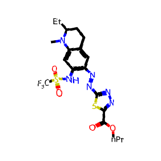 CCCOC(=O)c1nnc(N=Nc2cc3c(cc2NS(=O)(=O)C(F)(F)F)N(C)C(CC)CC3)s1